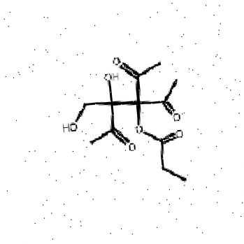 CCC(=O)OC(C(C)=O)(C(C)=O)C(O)(CO)C(C)=O